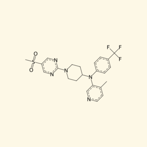 Cc1ccncc1N(c1ccc(C(F)(F)F)cc1)C1CCN(c2ncc(S(C)(=O)=O)cn2)CC1